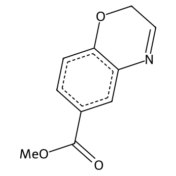 COC(=O)c1ccc2c(c1)N=CCO2